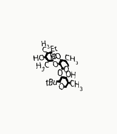 CCC1OC(OC2C(OC3C(O)C(C)COC3C(C)(C)C)OCC(C)C2O)C(C)C(O)C1C